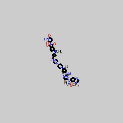 CCc1cc(Nc2ncc(Br)c(Nc3ccc4nccnc4c3P(C)(C)=O)n2)c(OC)cc1N1CCC(N2CCN(C(=O)C3CC(N(C)c4ccc5c(c4)C(=O)N(C4CCC(=O)NC4=O)C5=O)C3)CC2)CC1